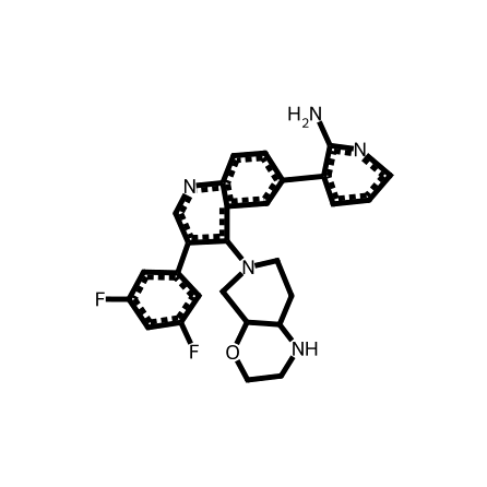 Nc1ncccc1-c1ccc2ncc(-c3cc(F)cc(F)c3)c(N3CCC4NCCOC4C3)c2c1